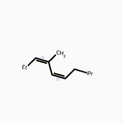 CC/C=C(C)\C=C/CC(C)C